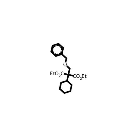 CCOC(=O)C(COCc1ccccc1)(C(=O)OCC)C1CCCCC1